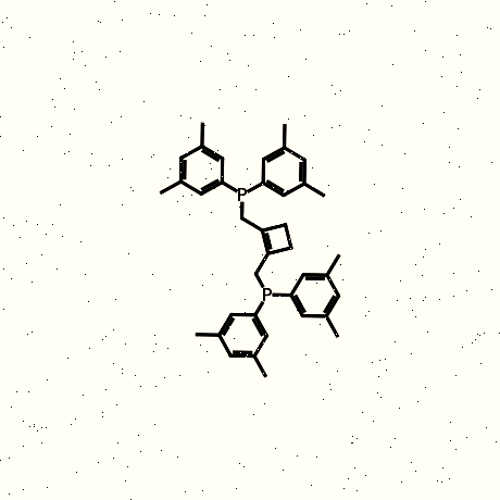 Cc1cc(C)cc(P(CC2=C(CP(c3cc(C)cc(C)c3)c3cc(C)cc(C)c3)CC2)c2cc(C)cc(C)c2)c1